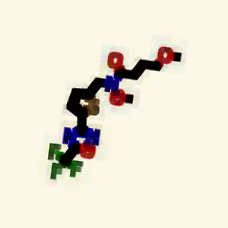 COCCCC(=O)N(Cc1ccc(-c2noc(C(F)(F)F)n2)s1)OC